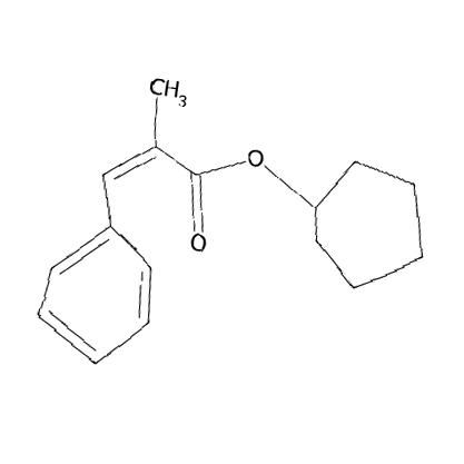 CC(=Cc1ccccc1)C(=O)OC1CCCCC1